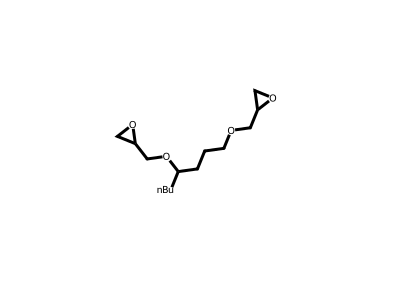 CCCCC(CCCOCC1CO1)OCC1CO1